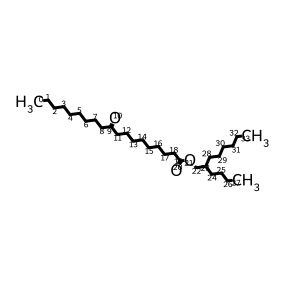 CCCCCCCCCC(=O)CCCCCCCCC(=O)OCC(CCCC)CCCCCC